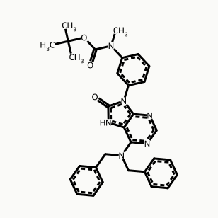 CN(C(=O)OC(C)(C)C)c1cccc(-n2c(=O)[nH]c3c(N(Cc4ccccc4)Cc4ccccc4)ncnc32)c1